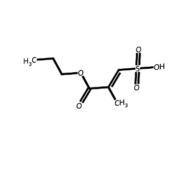 CCCOC(=O)C(C)=CS(=O)(=O)O